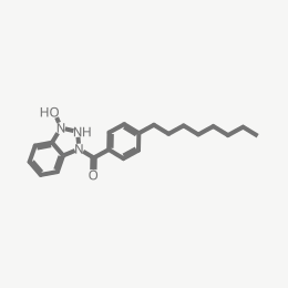 CCCCCCCCc1ccc(C(=O)N2NN(O)c3ccccc32)cc1